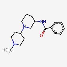 O=C(NC1CCCN(C2CCN(C(=O)O)CC2)C1)c1ccccc1